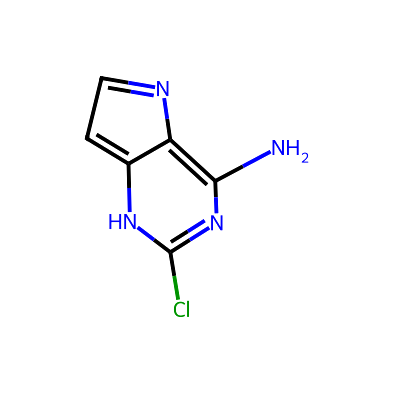 Nc1nc(Cl)[nH]c2ccnc1-2